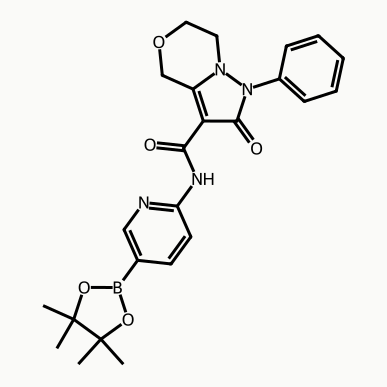 CC1(C)OB(c2ccc(NC(=O)c3c4n(n(-c5ccccc5)c3=O)CCOC4)nc2)OC1(C)C